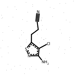 N#CCCc1snc(N)c1Cl